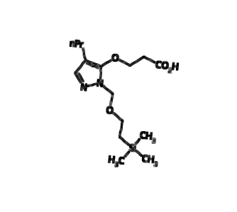 CCCc1cnn(COCC[Si](C)(C)C)c1OCCC(=O)O